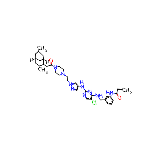 C=CC(=O)Nc1cccc(CNc2nc(Nc3cnn(CCN4CCN(C(=O)CC5[C@H]6C[C@@H](C)C[C@H](C6)C[C@H]5C)CC4)c3)ncc2Cl)c1